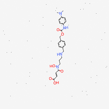 CN(C)c1ccc(NC(=O)OCc2ccc(CNCCCN(O)C(=O)/C=C/C(=O)O)cc2)cc1